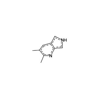 Cc1cc2c[nH]cc2nc1C